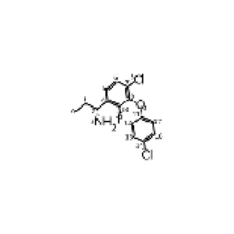 CC[C@@H](N)c1ccc(Cl)c(Oc2ccc(Cl)cc2)c1F